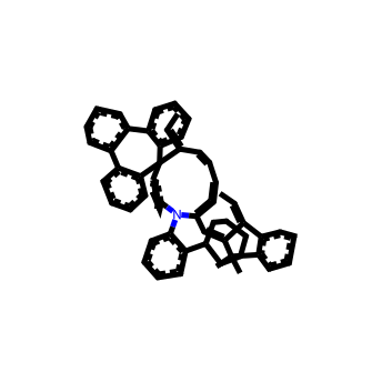 C/C=C1\C(=C/C2=C=C/C=C\C(=C/C)C3(c4ccccc4-c4ccccc4-c4ccccc43)c3ccccc3N2c2ccccc2C2CCCCC2)C(C)(C)c2ccccc21